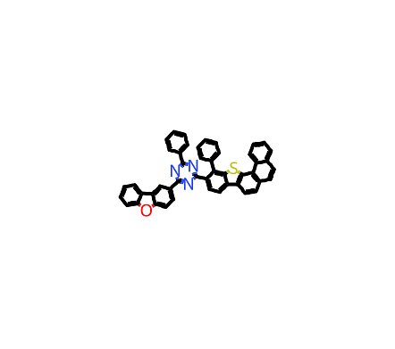 c1ccc(-c2nc(-c3ccc4oc5ccccc5c4c3)nc(-c3ccc4c(sc5c4ccc4ccc6ccccc6c45)c3-c3ccccc3)n2)cc1